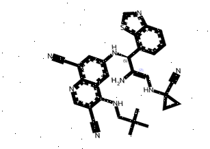 CC(C)(C)CNc1c(C#N)cnc2c(C#N)cc(N[C@H](/C(N)=C/NC3(C#N)CC3)c3cccc4ncsc34)cc12